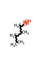 CC(C)CCCC(C)CCCC(C)CCCC(C)CCOS(=O)(=O)O